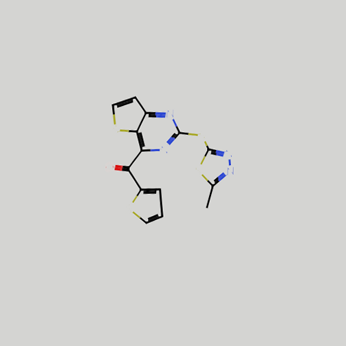 Cc1nnc(Sc2nc(C(=O)c3cccs3)c3sccc3n2)s1